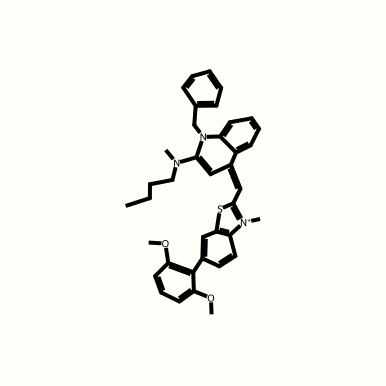 CCCCN(C)C1=C/C(=C\c2sc3cc(-c4c(OC)cccc4OC)ccc3[n+]2C)c2ccccc2N1Cc1ccccc1